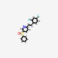 [O-][S@@+](c1ccccc1)c1ccc(C=Cc2ccc(F)cc2F)nc1